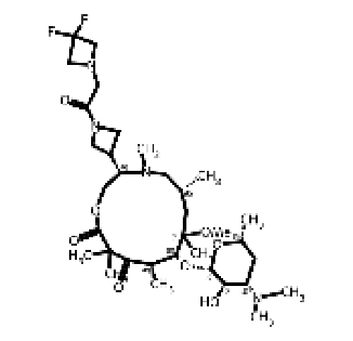 CO[C@]1(C)C[C@@H](C)CN(C)[C@H](C2CN(C(=O)CN3CC(F)(F)C3)C2)COC(=O)C(C)(C)C(=O)[C@H](C)[C@H]1O[C@@H]1O[C@H](C)C[C@H](N(C)C)[C@H]1O